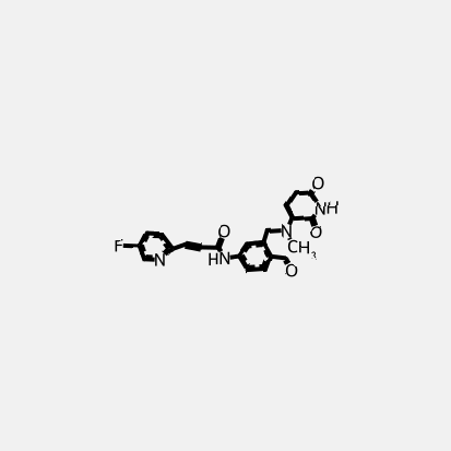 CN(Cc1cc(NC(=O)C#Cc2ccc(F)cn2)ccc1C=O)C1CCC(=O)NC1=O